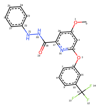 COc1cc(Oc2cccc(C(F)(F)F)c2)nc(C(=O)NNc2ccccc2)c1